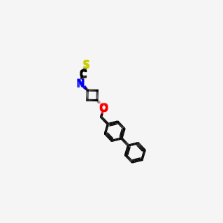 S=C=N[C@H]1C[C@H](OCc2ccc(-c3ccccc3)cc2)C1